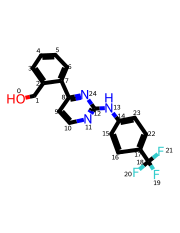 OCc1ccccc1-c1ccnc(Nc2ccc(C(F)(F)F)cc2)n1